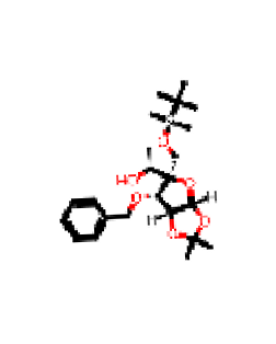 C[C@H](O)[C@@]1(CO[Si](C)(C)C(C)(C)C)O[C@@H]2OC(C)(C)O[C@@H]2[C@@H]1OCc1ccccc1